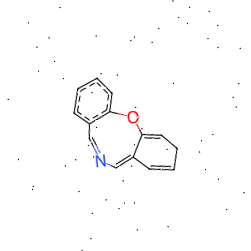 C1=C/C2=C/N=C\c3ccccc3OC2=CC1